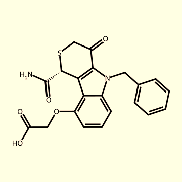 NC(=O)[C@@H]1SCC(=O)c2c1c1c(OCC(=O)O)cccc1n2Cc1ccccc1